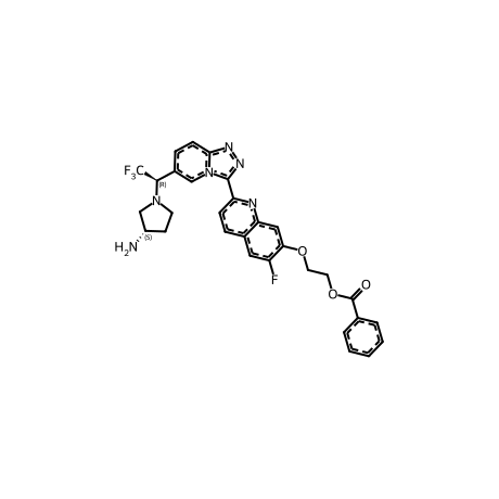 N[C@H]1CCN([C@H](c2ccc3nnc(-c4ccc5cc(F)c(OCCOC(=O)c6ccccc6)cc5n4)n3c2)C(F)(F)F)C1